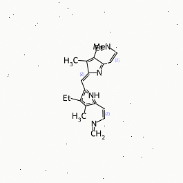 C=N/C=C\c1[nH]c(/C=C2N=C(/C=C\NC)C(CC)=C\2C)c(CC)c1C